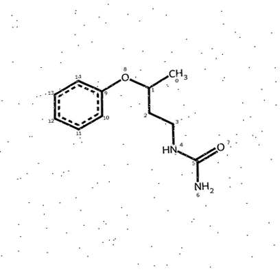 CC(CCNC(N)=O)Oc1ccccc1